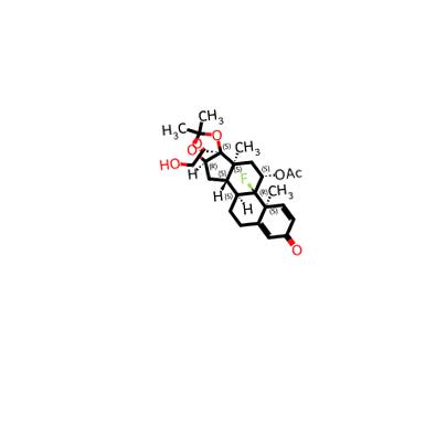 CC(=O)O[C@H]1C[C@@]2(C)[C@@H](C[C@H]3OC(C)(C)O[C@]32C(=O)CO)[C@@H]2CCC3=CC(=O)C=C[C@]3(C)[C@@]12F